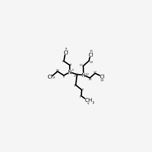 CCCC[C](N(CCCl)CCCl)N(CCCl)CCCl